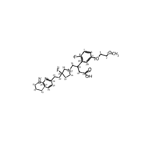 COCCOc1ccc(F)c(C(CC(=O)O)CN2CCC(F)(CCc3ccc4c(n3)NCCC4)C2)c1